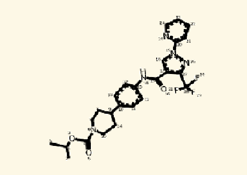 CC(C)OC(=O)N1CCC(c2ccc(NC(=O)c3cn(-c4ccccn4)nc3C(F)(F)F)cc2)CC1